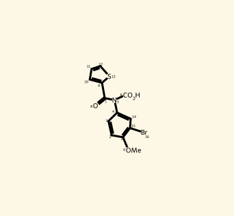 COc1ccc(N(C(=O)O)C(=O)c2cccs2)cc1Br